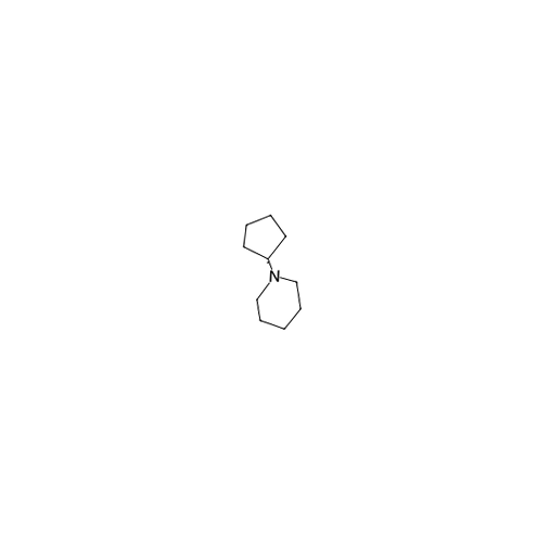 C1CCN([C]2CCCC2)CC1